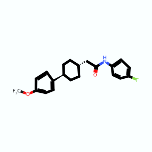 O=C(C[C@H]1CC[C@H](c2ccc(OC(F)(F)F)cc2)CC1)Nc1ccc(F)cc1